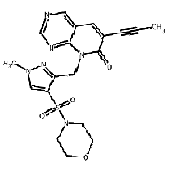 CC#Cc1cc2cncnc2n(Cc2nn(C)cc2S(=O)(=O)N2CCOCC2)c1=O